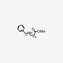 COC(=O)[C@@H](C)CN[C@H](C)c1ccccc1